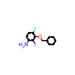 Nc1ccc(F)c(OCc2ccccc2)c1I